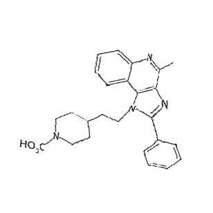 Cc1nc2ccccc2c2c1nc(-c1ccccc1)n2CCC1CCN(C(=O)O)CC1